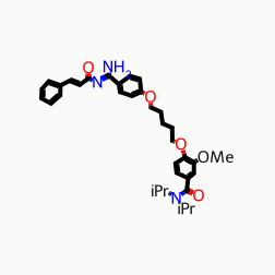 COc1cc(C(=O)N(C(C)C)C(C)C)ccc1OCCCCCOc1ccc(C(N)=NC(=O)C=Cc2ccccc2)cc1